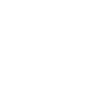 O=C([O-])CCCCC(=O)O.c1ccc([I+]c2ccccc2)cc1